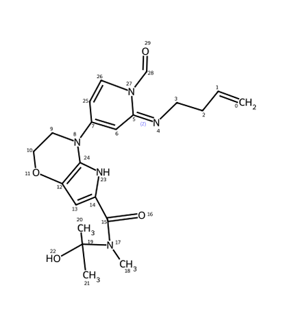 C=CCC/N=c1/cc(N2CCOc3cc(C(=O)N(C)C(C)(C)O)[nH]c32)ccn1C=O